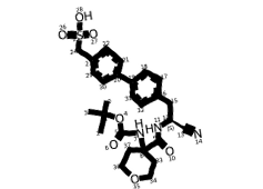 CC(C)(C)OC(=O)NC1(C(=O)N[C@H](C#N)Cc2ccc(-c3ccc(CS(=O)(=O)O)cc3)cc2)CCOCC1